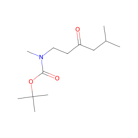 CC(C)CC(=O)CCN(C)C(=O)OC(C)(C)C